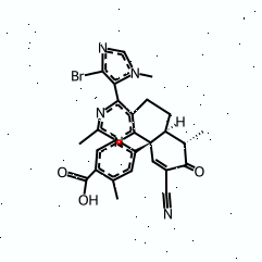 Cc1nc(-c2c(Br)ncn2C)c2c(n1)[C@@]1(c3ccc(C(=O)O)c(C)c3)C=C(C#N)C(=O)[C@@H](C)[C@@H]1CC2